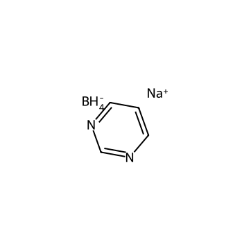 [BH4-].[Na+].c1cncnc1